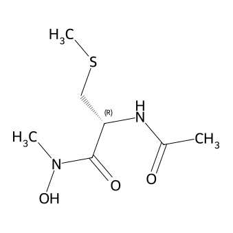 CSC[C@H](NC(C)=O)C(=O)N(C)O